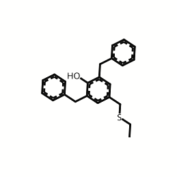 CCSCc1cc(Cc2ccccc2)c(O)c(Cc2ccccc2)c1